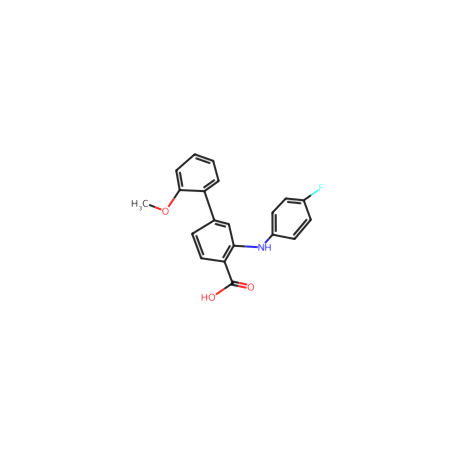 COc1ccccc1-c1ccc(C(=O)O)c(Nc2ccc(F)cc2)c1